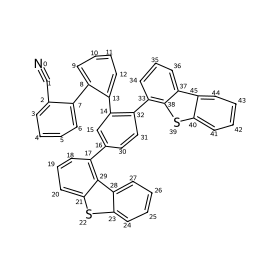 N#Cc1ccccc1-c1ccccc1-c1cc(-c2cccc3sc4ccccc4c23)ccc1-c1cccc2c1sc1ccccc12